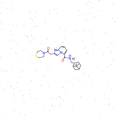 CC1(C)C2CC[C@H](CNC(=O)c3cccc4nc(CC(=O)N5CCSCC5)cn34)C1C2